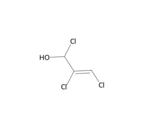 OC(Cl)C(Cl)=CCl